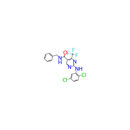 O=C(NCc1ccccc1)c1cnc(Nc2cc(Cl)ccc2Cl)nc1C(F)(F)F